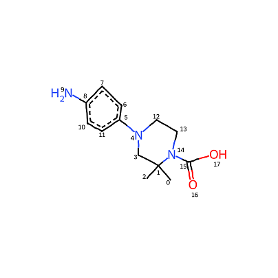 CC1(C)CN(c2ccc(N)cc2)CCN1C(=O)O